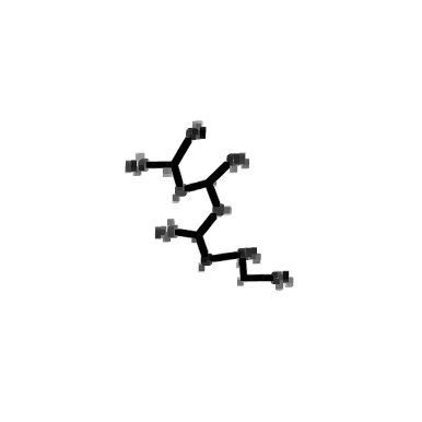 CC[SiH2]OC(C)OC(C)OC(C)O